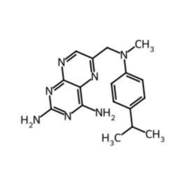 CC(C)c1ccc(N(C)Cc2cnc3nc(N)nc(N)c3n2)cc1